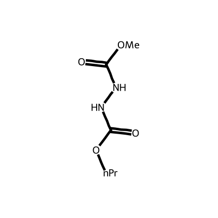 CCCOC(=O)NNC(=O)OC